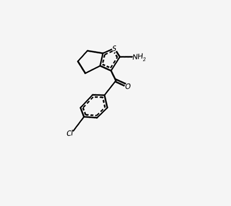 Nc1sc2c(c1C(=O)c1ccc(Cl)cc1)CCC2